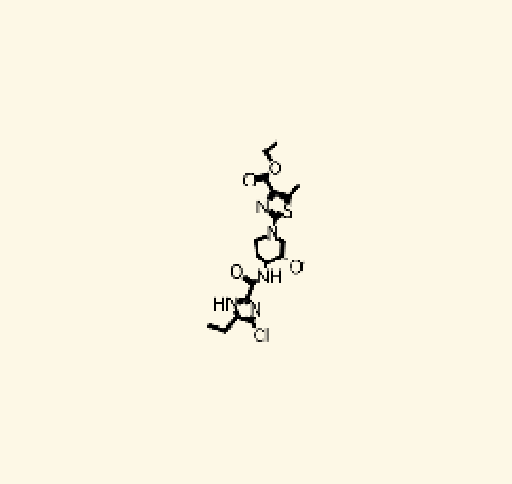 CCOC(=O)c1nc(N2CC[C@@H](NC(=O)c3nc(Cl)c(CC)[nH]3)[C@@H](OC)C2)sc1C